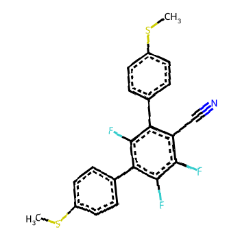 CSc1ccc(-c2c(F)c(F)c(C#N)c(-c3ccc(SC)cc3)c2F)cc1